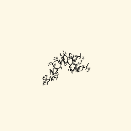 CCC(=O)Nc1nc2c(s1)CN(c1cc(-c3ncc(C)cc3C)c(Cl)cn1)CC2